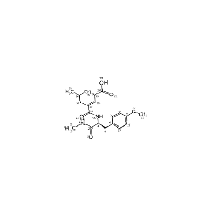 CNC(=O)[C@H](Cc1ccc(OC)cc1)NC(=O)C(=CCC(=O)O)CC(C)C